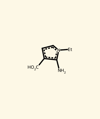 CCn1ccc(C(=O)O)c1N